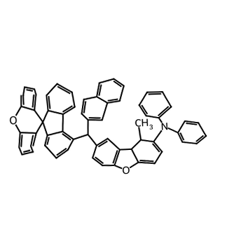 CC1C(N(c2ccccc2)c2ccccc2)=CC=C2Oc3ccc(C(c4ccc5ccccc5c4)c4cccc5c4-c4ccccc4C54c5ccccc5Oc5ccccc54)cc3C21